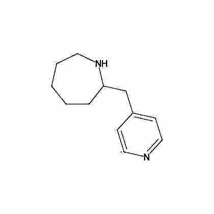 [c]1cc(CC2CCCCCN2)ccn1